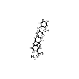 C[C@H]1CN(CC(Cc2ccccc2)C(=O)O)CC[C@]1(C)c1cccc(C(N)=O)c1